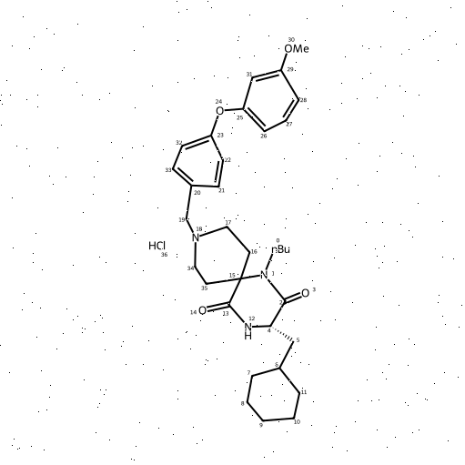 CCCCN1C(=O)[C@H](CC2CCCCC2)NC(=O)C12CCN(Cc1ccc(Oc3cccc(OC)c3)cc1)CC2.Cl